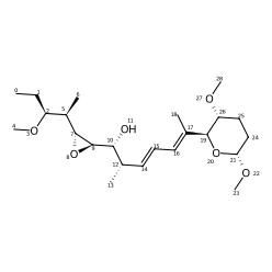 CC[C@H](OC)[C@@H](C)[C@H]1O[C@@H]1[C@H](O)[C@@H](C)/C=C/C=C(\C)[C@@H]1O[C@@H](OC)CC[C@H]1OC